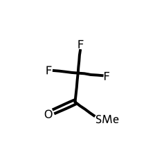 [CH2]SC(=O)C(F)(F)F